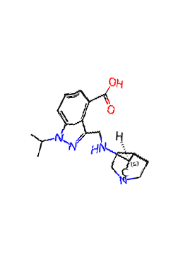 CC(C)n1nc(CN[C@@H]2CN3CCC2CC3)c2c(C(=O)O)cccc21